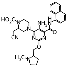 CN1CCCC1COc1nc(C(=O)Nc2cccc3ccccc23)c(N)c(N2CCN(C(=O)O)C(CC#N)C2)n1